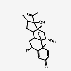 CC(=O)[C@@]1(O)[C@H](C)CC2C3C[C@H](F)C4=CC(=O)C=CC4(C)[C@@]3(F)[C@@H](O)CC21C